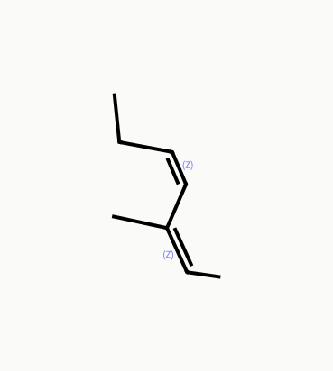 C/C=C(C)\C=C/CC